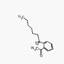 CCCCCCC(=O)c1ccccc1C(C)=O